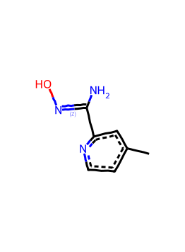 Cc1ccnc(/C(N)=N/O)c1